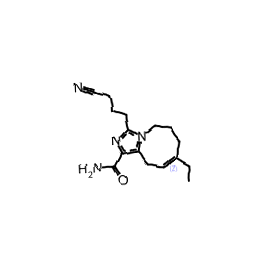 CC/C1=C/Cc2c(C(N)=O)nc(CCCC#N)n2CCC1